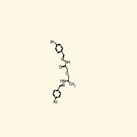 C=C(COCC(=O)N/N=C/c1ccc(C(C)C)cc1)N/N=C/c1ccc(C(C)=O)cc1